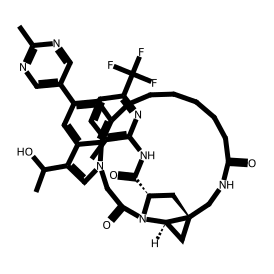 Cc1ncc(-c2cc3c4c(c2)c(C(C)O)cn4CC(=O)N2[C@H](C(=O)Nc4nc(C(F)(F)F)ccc4C)C[C@@]4(CNC(=O)CCCCCC3)C[C@@H]24)cn1